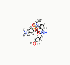 COc1ccc(CC(=O)Nc2ccc3c(c2)N(S(=O)(=O)c2ccc(CN(C)C)cc2)CCC3)cc1